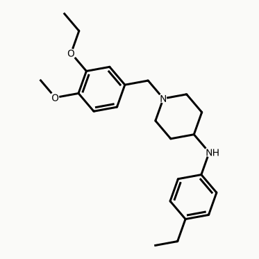 CCOc1cc(CN2CCC(Nc3ccc(CC)cc3)CC2)ccc1OC